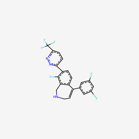 Fc1cc(F)cc(C2=CCNCc3c2ccc(-c2ccc(C(F)(F)F)nn2)c3F)c1